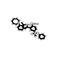 COc1ccc(S(=O)(=O)Oc2ccccc2)cc1-c1ccc(C[N+]2(c3ccccc3)CCCCCC2)[nH]1